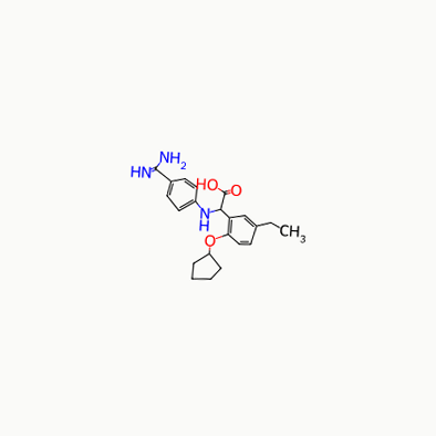 CCc1ccc(OC2CCCC2)c(C(Nc2ccc(C(=N)N)cc2)C(=O)O)c1